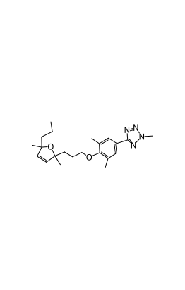 CCCC1(C)C=CC(C)(CCCOc2c(C)cc(-c3nnn(C)n3)cc2C)O1